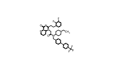 CCN1CCC(N(Cc2ccc(-c3ccc(C(F)(F)F)cc3)cc2)C(=O)Cn2c(CCc3cccc(F)c3F)nc(=O)c3ncccc32)CC1